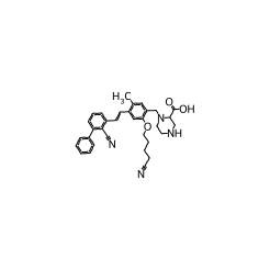 Cc1cc(CN2CCNCC2C(=O)O)c(OCCCCC#N)cc1/C=C/c1cccc(-c2ccccc2)c1C#N